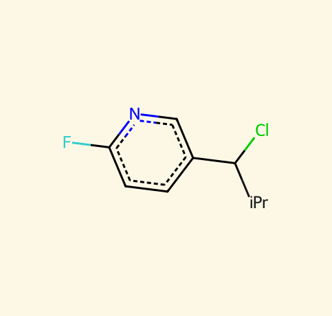 CC(C)C(Cl)c1ccc(F)nc1